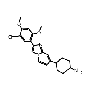 COc1cc(OC)c(-c2cn3ccc(C4CCC(N)CC4)cc3n2)cc1Cl